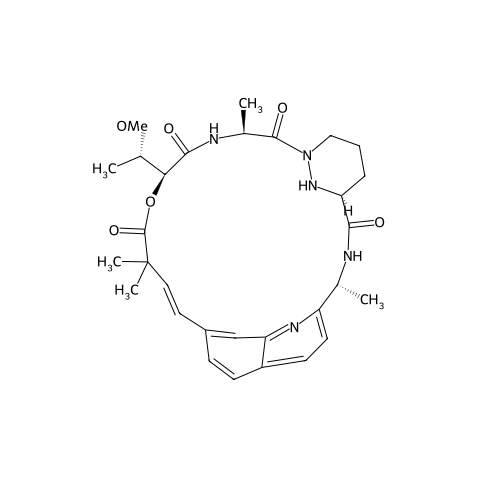 CO[C@@H](C)[C@@H]1OC(=O)C(C)(C)/C=C/c2ccc3ccc(nc3c2)[C@@H](C)NC(=O)[C@@H]2CCCN(N2)C(=O)[C@H](C)NC1=O